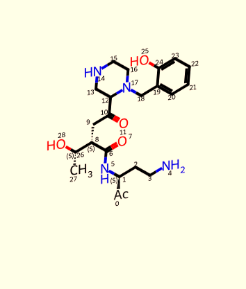 CC(=O)[C@H](CCN)NC(=O)[C@@H](CC(=O)C1CNCCN1Cc1ccccc1O)[C@H](C)O